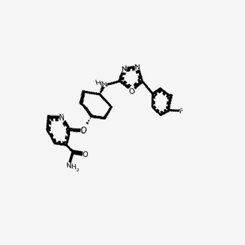 NC(=O)c1cccnc1O[C@H]1CC[C@H](Nc2nnc(-c3ccc(F)cc3)o2)CC1